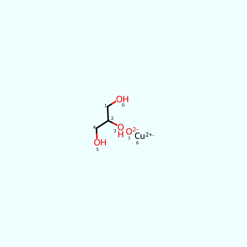 OCC(O)CO.[Cu+2].[O-2]